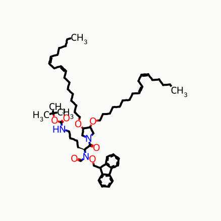 CCCCC/C=C\C/C=C\CCCCCCCCOC1CN(C(=O)[C@H](CCCCNC(=O)OC(C)(C)C)N(C=O)OCC2c3ccccc3-c3ccccc32)CC1OCCCCCCCC/C=C\C/C=C\CCCCC